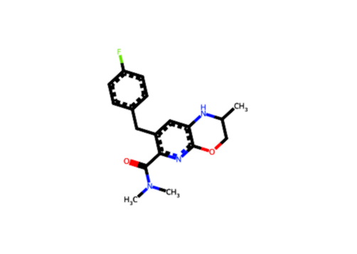 CC1COc2nc(C(=O)N(C)C)c(Cc3ccc(F)cc3)cc2N1